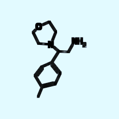 Cc1ccc(C(CN)N2CCOCC2)cc1